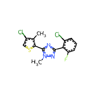 Cc1c(Cl)csc1-c1nc(-c2c(F)cccc2Cl)nn1C